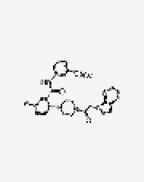 COc1cc(NC(=O)c2cc(F)ccc2N2CCN(C(=O)Cn3ccc4cccnc43)CC2)ccn1